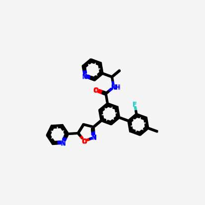 Cc1ccc(-c2cc(C(=O)NC(C)c3cccnc3)cc(C3=NOC(c4ccccn4)C3)c2)c(F)c1